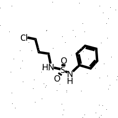 O=S(=O)(NCCCCl)Nc1ccccc1